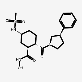 CS(=O)(=O)N[C@@H]1CC[C@H](C(=O)N2CC[C@H](c3ccccc3)C2)[C@@H](C(=O)NO)C1